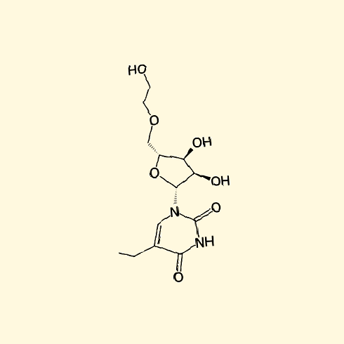 CCc1cn([C@@H]2O[C@H](COCCO)[C@@H](O)[C@H]2O)c(=O)[nH]c1=O